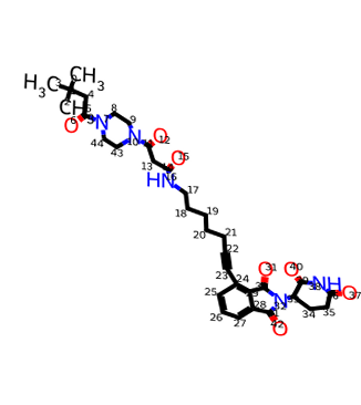 CC(C)(C)CC(=O)N1CCN(C(=O)CC(=O)NCCCCCC#Cc2cccc3c2C(=O)N(C2CCC(=O)NC2=O)C3=O)CC1